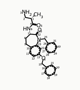 C[C@@H](CN)C(=O)N[C@H]1CCc2ccc(OCc3ccccc3)cc2N(Cc2ccccc2)C1=O